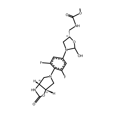 COC(=O)NC[C@H]1CN(c2cc(F)c(N3C[C@@H]4OC(=O)N[C@@H]4C3)c(F)c2)C(O)O1